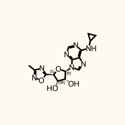 Cc1noc([C@H]2O[C@@H](n3cnc4c(NC5CC5)ncnc43)[C@H](O)[C@@H]2O)n1